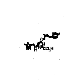 Cc1ccc(CC[C@@H](C)COc2cc(NCc3nnc(C)s3)nc(C(=O)O)n2)nc1